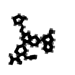 C=C(F)C(=O)N1CCN(c2nc(OC[C@@H]3CCCN3C)nc3c2CC[C@@H](c2cc(O)cc4ccccc24)C3)C[C@H]1CC#N